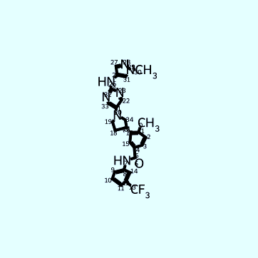 Cc1ccc(C(=O)Nc2cccc(C(F)(F)F)c2)cc1[C@@H]1CCN(c2cnc(Nc3cnn(C)c3)nc2)C1